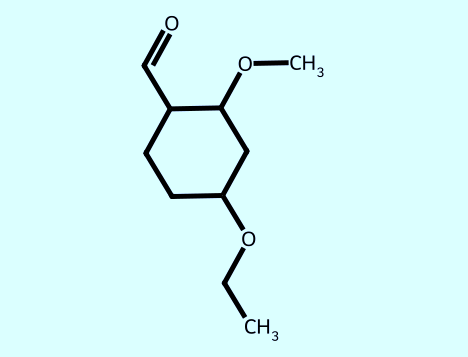 CCOC1CCC(C=O)C(OC)C1